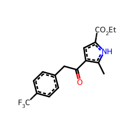 CCOC(=O)c1cc(C(=O)Cc2ccc(C(F)(F)F)cc2)c(C)[nH]1